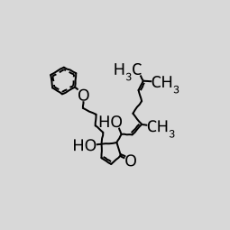 CC(C)=CCCC(C)=CC(O)C1C(=O)C=CC1(O)CCCCOc1ccccc1